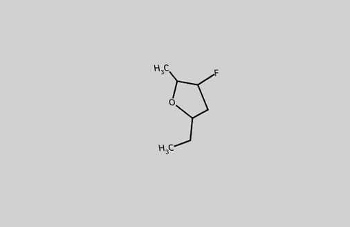 CCC1CC(F)C(C)O1